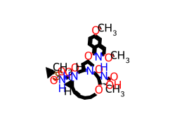 CC[C@@H]1OCCCC=C[C@@H]2C[C@@]2(C(=O)NS(=O)(=O)C2(C)CC2)NC(=O)[C@@H]2C[C@@H](Oc3nc(OC)cc4cc(OC)ccc34)CN2C(=O)[C@H]1NC(=O)O